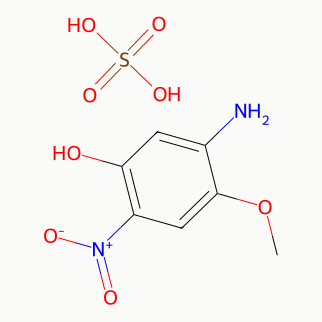 COc1cc([N+](=O)[O-])c(O)cc1N.O=S(=O)(O)O